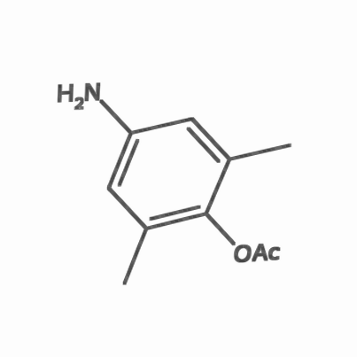 CC(=O)Oc1c(C)cc(N)cc1C